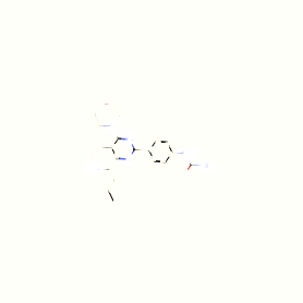 C=CC[C@H]1NCCc2c1nc(-c1ccc(NC(=O)NCC)cc1)nc2N1CCOC[C@@H]1C